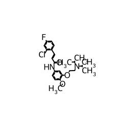 COc1ccc(NC(=O)/C=C/c2ccc(F)cc2Cl)cc1OCCN(C(C)C)C(C)C